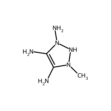 CN1NN(N)C(N)=C1N